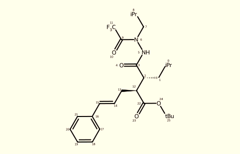 CC(C)C[C@@H](C(=O)NN(CC(C)C)C(=O)C(F)(F)F)[C@H](CC=Cc1ccccc1)C(=O)OC(C)(C)C